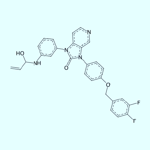 C=CC(O)Nc1cccc(-n2c(=O)n(-c3ccc(OCc4ccc(F)c(F)c4)cc3)c3cnccc32)c1